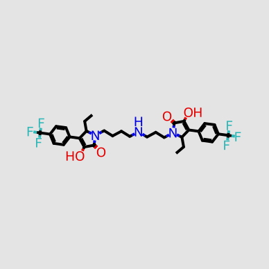 CCC1C(c2ccc(C(F)(F)F)cc2)=C(O)C(=O)N1CCCCNCCCN1C(=O)C(O)=C(c2ccc(C(F)(F)F)cc2)C1CC